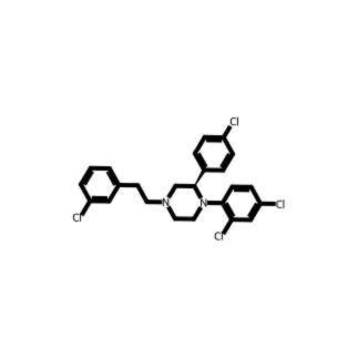 Clc1ccc([C@@H]2CN(CCc3cccc(Cl)c3)CCN2c2ccc(Cl)cc2Cl)cc1